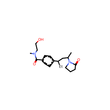 CCC(CC(C)N1CCCC1=O)c1ccc(C(=O)N(C)CCO)cc1